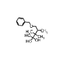 CC(COCc1ccccc1)C(C)(C)C(O)(O)O